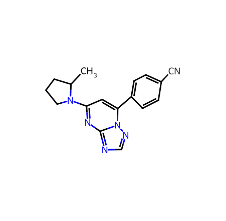 CC1CCCN1c1cc(-c2ccc(C#N)cc2)n2ncnc2n1